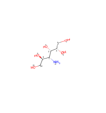 N[C@@H]([C@H](O)[C@@H](O)CO)[C@H](O)CO